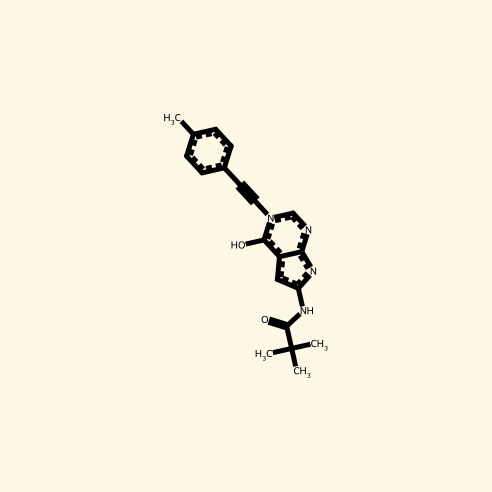 Cc1ccc(C#Cn2cnc3nc(NC(=O)C(C)(C)C)cc-3c2O)cc1